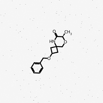 C[C@H]1OCC2(CC(OCc3ccccc3)C2)NC1=O